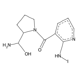 NC(O)C1CCCN1C(=O)c1cccnc1NI